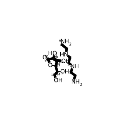 NCCNCCNCCN.O=C1O[C@H]([C@@H](O)CO)C(O)=C1O